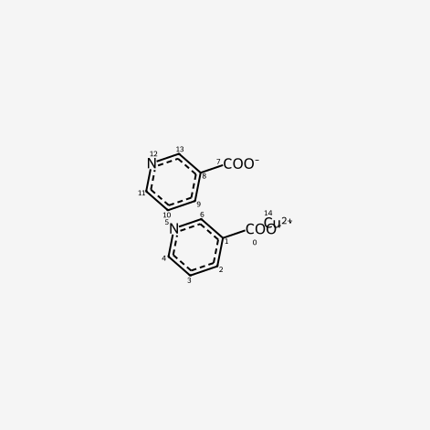 O=C([O-])c1cccnc1.O=C([O-])c1cccnc1.[Cu+2]